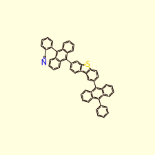 N#Cc1ccccc1-c1c2ccccc2c(-c2ccc3c(c2)sc2ccc(-c4c5ccccc5c(-c5ccccc5)c5ccccc45)cc23)c2ccccc12